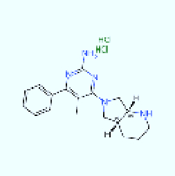 Cc1c(-c2ccccc2)nc(N)nc1N1C[C@H]2CCCN[C@H]2C1.Cl.Cl